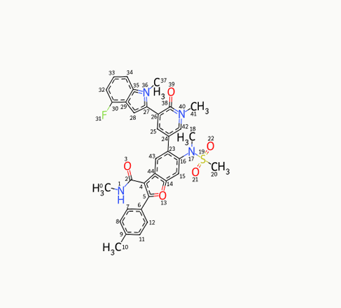 CNC(=O)c1c(-c2ccc(C)cc2)oc2cc(N(C)S(C)(=O)=O)c(-c3cc(-c4cc5c(F)cccc5n4C)c(=O)n(C)c3)cc12